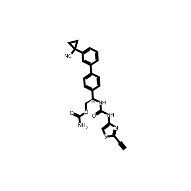 C#Cc1nc(NC(=O)N[C@@H](COC(N)=O)c2ccc(-c3cccc(C4(C#N)CC4)c3)cc2)cs1